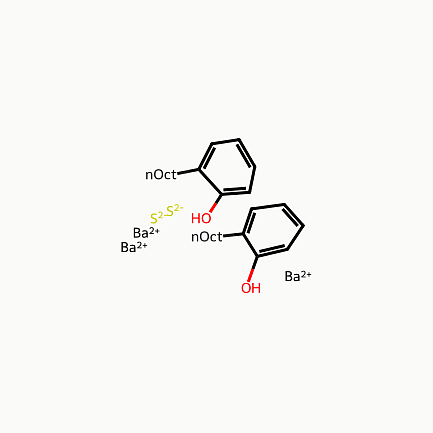 CCCCCCCCc1ccccc1O.CCCCCCCCc1ccccc1O.[Ba+2].[Ba+2].[Ba+2].[S-2].[S-2]